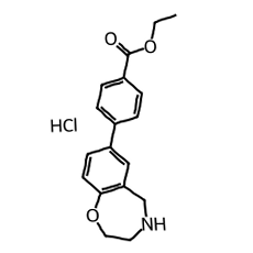 CCOC(=O)c1ccc(-c2ccc3c(c2)CNCCO3)cc1.Cl